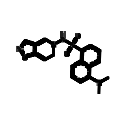 CN(C)c1cccc2c(S(=O)(=O)NN3C=c4cnoc4=CC3)cccc12